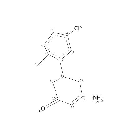 Cc1ccc(Cl)cc1C1CC(=O)C=C(N)C1